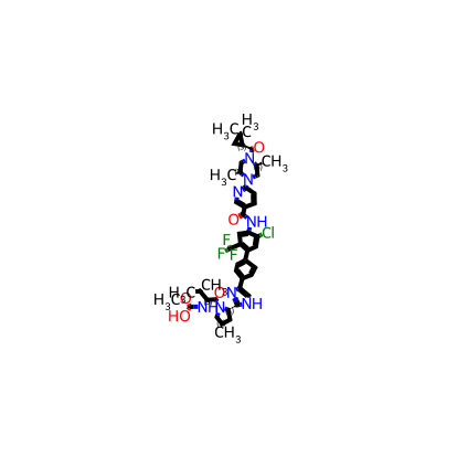 COC(O)N[C@H](C(=O)N1C[C@@H](C)C[C@H]1c1nc(-c2ccc(-c3cc(Cl)c(NC(=O)c4ccc(N5C[C@H](C)N(C(=O)[C@H]6CC6(C)C)C[C@H]5C)nc4)cc3C(F)(F)F)cc2)c[nH]1)C(C)C